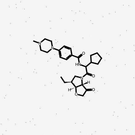 CC[C@H]1CN(C(=O)C(NC(=O)c2ccc(N3CCN(C)CC3)cc2)C2CCCC2)[C@@H]2C(=O)CO[C@@H]12